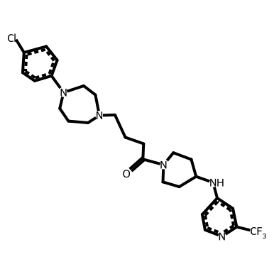 O=C(CCCN1CCCN(c2ccc(Cl)cc2)CC1)N1CCC(Nc2ccnc(C(F)(F)F)c2)CC1